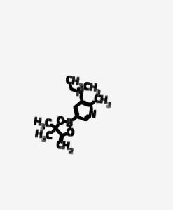 C=C1OB(c2cnc(C)c(N(C)CC)c2)OC1(C)C